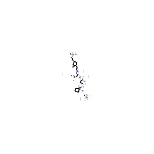 CCOC(=O)c1nc(N(C)c2cc(C)c(/N=c3\sc4ccccc4n3COCC[Si](C)(C)C)nn2)sc1/C=C(\C)COc1ccc(C#CCN(C)C)cc1F